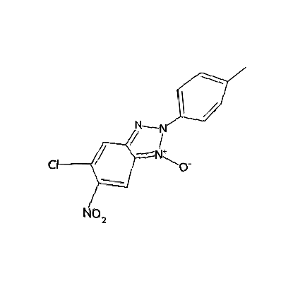 Cc1ccc(-n2nc3cc(Cl)c([N+](=O)[O-])cc3[n+]2[O-])cc1